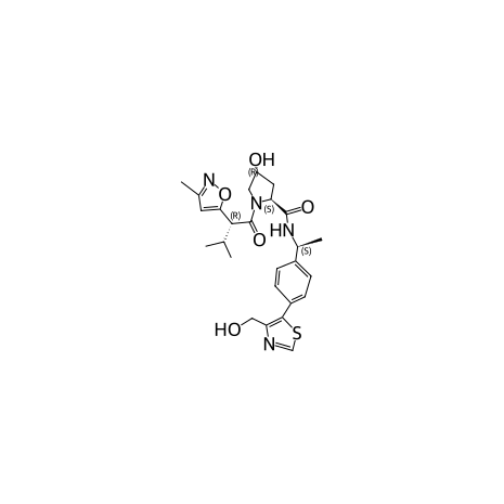 Cc1cc([C@H](C(=O)N2C[C@H](O)C[C@H]2C(=O)N[C@@H](C)c2ccc(-c3scnc3CO)cc2)C(C)C)on1